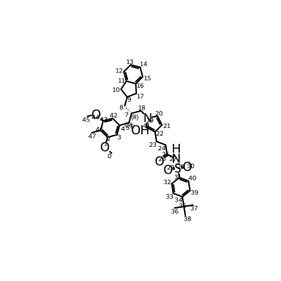 COc1cc([C@@H](O)[C@H](CC2Cc3ccccc3C2)Cn2ccc(CCC(=O)NS(=O)(=O)c3ccc(C(C)(C)C)cc3)c2)cc(OC)c1C